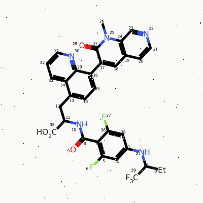 CCC(Nc1cc(F)c(C(=O)NC(Cc2ccc(-c3cc4ccncc4n(C)c3=O)c3ncccc23)C(=O)O)c(F)c1)C(F)(F)F